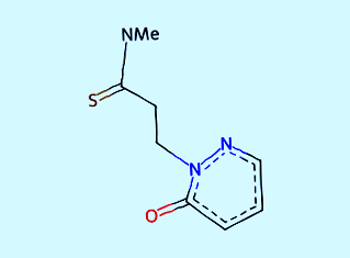 CNC(=S)CCn1ncccc1=O